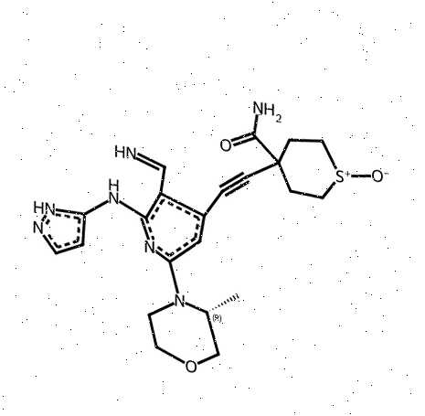 C[C@@H]1COCCN1c1cc(C#CC2(C(N)=O)CC[S+]([O-])CC2)c(C=N)c(Nc2ccn[nH]2)n1